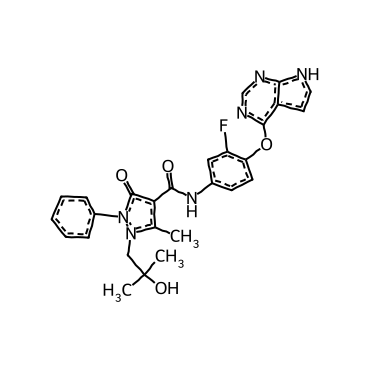 Cc1c(C(=O)Nc2ccc(Oc3ncnc4[nH]ccc34)c(F)c2)c(=O)n(-c2ccccc2)n1CC(C)(C)O